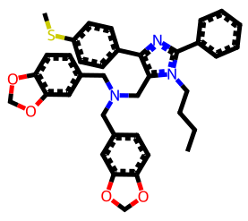 CCCCn1c(-c2ccccc2)nc(-c2ccc(SC)cc2)c1CN(Cc1ccc2c(c1)OCO2)Cc1ccc2c(c1)OCO2